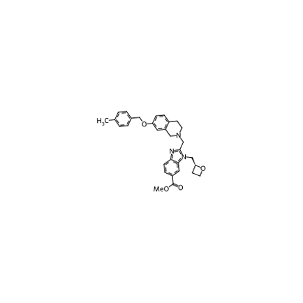 COC(=O)c1ccc2nc(CN3CCc4ccc(OCc5ccc(C)cc5)cc4C3)n(C[C@@H]3CCO3)c2c1